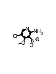 COc1c(Cl)cnc(N)c1[N+](=O)[O-]